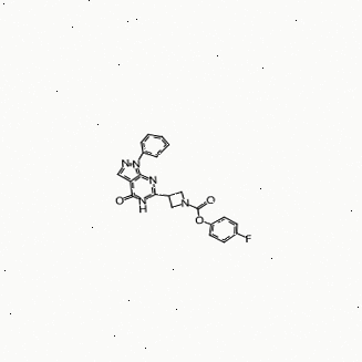 O=C(Oc1ccc(F)cc1)N1CC(c2nc3c(cnn3-c3ccccc3)c(=O)[nH]2)C1